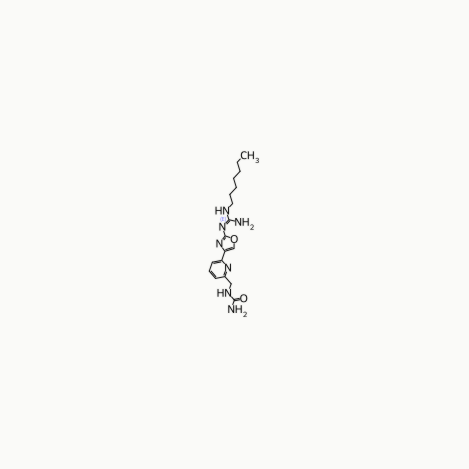 CCCCCCCN/C(N)=N/c1nc(-c2cccc(CNC(N)=O)n2)co1